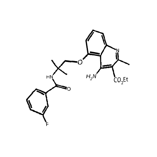 CCOC(=O)c1c(C)nc2cccc(OCC(C)(C)NC(=O)c3cccc(F)c3)c2c1N